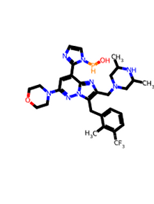 Cc1c(Cc2c(CN3CC(C)NC(C)C3)nc3c(-c4nccn4PO)cc(N4CCOCC4)nn23)cccc1C(F)(F)F